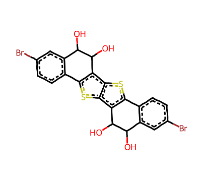 OC1c2cc(Br)ccc2-c2sc3c4c(sc3c2C1O)-c1ccc(Br)cc1C(O)C4O